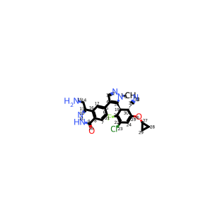 Cn1ncc(-c2ccc3c(=O)[nH]nc(CN)c3c2)c1[C@@H]1C(F)=C(Cl)C=C(OC2CC2)[C@H]1C#N